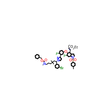 CCOC(=O)/C=C/c1c(Oc2ccc(F)c(-c3ccn(C(CC(C)(C)CCCN(C)C(=O)OCc4ccccc4)c4cccc(Br)c4)n3)c2)c(F)cc2c1ccn2S(=O)(=O)c1ccc(C)cc1